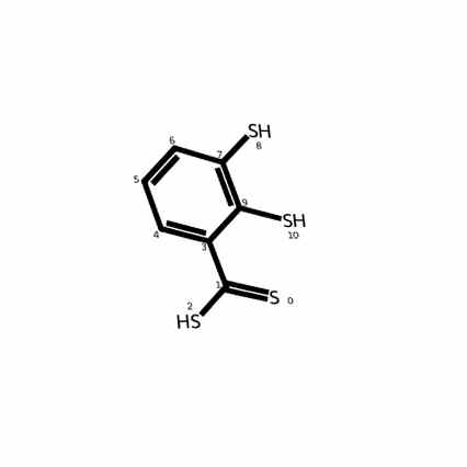 S=C(S)c1cccc(S)c1S